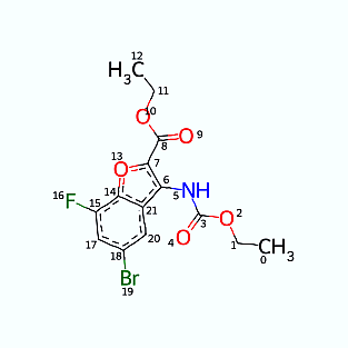 CCOC(=O)Nc1c(C(=O)OCC)oc2c(F)cc(Br)cc12